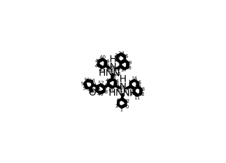 C1=CCCC(C2NC(C3=c4ccccc4=CCC3)NC(c3cc(C4=NC(c5cccc6c5CCC=C6)NC(c5ccccc5)N4)cc(-c4ccc5c(c4)C4C=CC=CC4O5)c3)N2)=C1